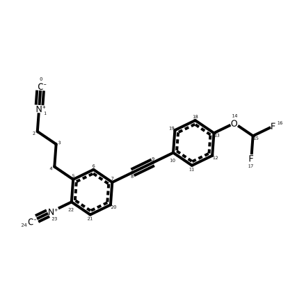 [C-]#[N+]CCCc1cc(C#Cc2ccc(OC(F)F)cc2)ccc1[N+]#[C-]